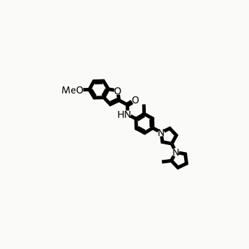 COc1ccc2oc(C(=O)Nc3ccc(N4CCC(N5CCCC5C)C4)cc3C)cc2c1